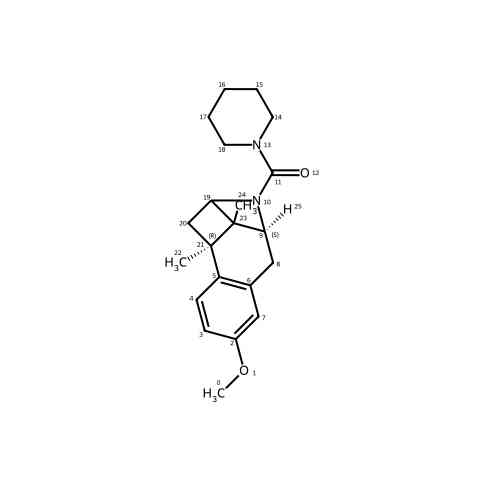 COc1ccc2c(c1)C[C@@H]1N(C(=O)N3CCCCC3)C3C[C@@]2(C)C31C